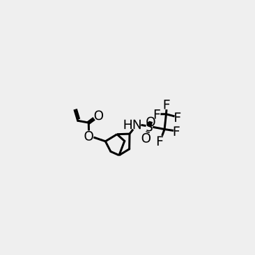 C=CC(=O)OC1CC2CC(NS(=O)(=O)C(F)(F)C(F)(F)F)C1C2